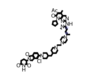 C=N/C(=C\C=C(/C)N1CCN(CCN2CCC(CC3CCN(c4ccc5c(c4Cl)CN(C4CCC(=O)NC4=O)C5=O)CC3)CC2)CC1)Nc1ncc2c(C)c(C(C)=O)c(=O)n(C3CCCC3)c2n1